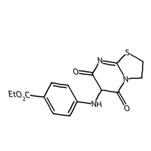 CCOC(=O)c1ccc(NC2C(=O)N=C3SCCN3C2=O)cc1